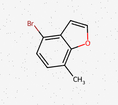 Cc1ccc(Br)c2ccoc12